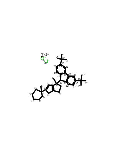 CC1(C2=CC3=C(CCC3(C)C3c4ccc(C(C)(C)C)cc4-c4cc(C(C)(C)C)ccc43)C2)CCCCC1.[Cl-].[Cl-].[Zr+2]